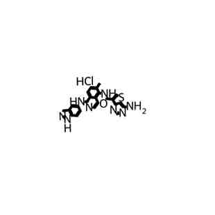 Cc1ccc2c(Nc3ccc4[nH]ncc4c3)nccc2c1NC(=O)c1csc2c(N)ncnc12.Cl